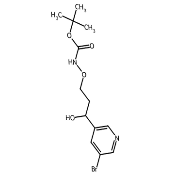 CC(C)(C)OC(=O)NOCCC(O)c1cncc(Br)c1